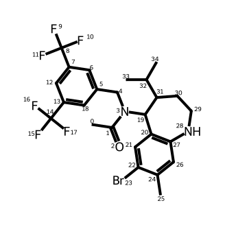 CC(=O)N(Cc1cc(C(F)(F)F)cc(C(F)(F)F)c1)C1c2cc(Br)c(C)cc2NCCC1C(C)C